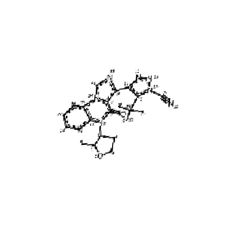 CC1OCCC1n1c(=O)c2c(-c3nnn(C#N)c3C(C)(C)C)ncn2c2ccccc21